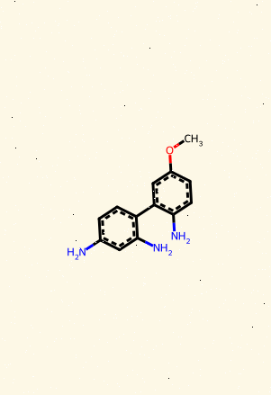 COc1ccc(N)c(-c2ccc(N)cc2N)c1